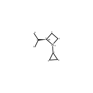 CC(C)[C@H]1CCN1C1CC1